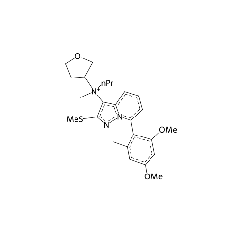 CCC[N+](C)(c1c(SC)nn2c(-c3c(C)cc(OC)cc3OC)cccc12)C1CCOC1